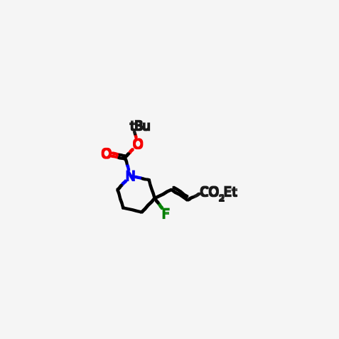 CCOC(=O)/C=C/C1(F)CCCN(C(=O)OC(C)(C)C)C1